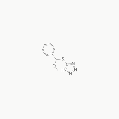 COC(Sc1nnn[nH]1)c1ccccc1